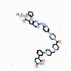 CN(C)C(=O)c1cc2cnc(Nc3ccc(N4CCN(C(=O)C5CCN(CC6CCN(c7cccc(C8CCC(=O)NC8=O)c7)CC6)CC5)CC4)cn3)nc2n1C1CCCC1